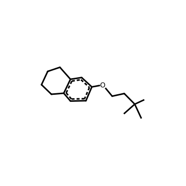 CC(C)(C)CCOc1ccc2c(c1)CCCC2